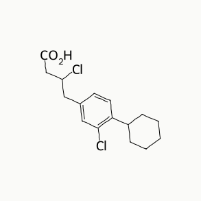 O=C(O)CC(Cl)Cc1ccc(C2CCCCC2)c(Cl)c1